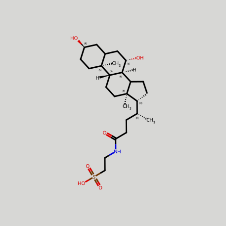 C[C@H](CCC(=O)NCCS(=O)(=O)O)[C@H]1CCC2[C@@H]3[C@@H](O)CC4C[C@H](O)CC[C@]4(C)[C@H]3CC[C@@]21C